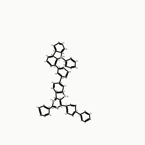 c1ccc(-c2ccc(-c3nc(-c4ccccc4)nc4c3sc3cc(-c5cccc(-c6cccc7c8ccccc8n(-c8ccccc8)c67)c5)ccc34)cc2)cc1